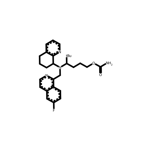 CC(C)(C)C(CCCOC(N)=O)N(Cc1nccc2cc(F)ccc12)C1CCCc2cccnc21